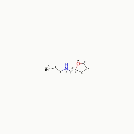 CC(C)CCNC[C@H]1CCCO1